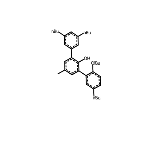 CCCCc1cc(CCCC)cc(-c2cc(C)cc(-c3cc(CCCC)ccc3OCC(C)C)c2O)c1